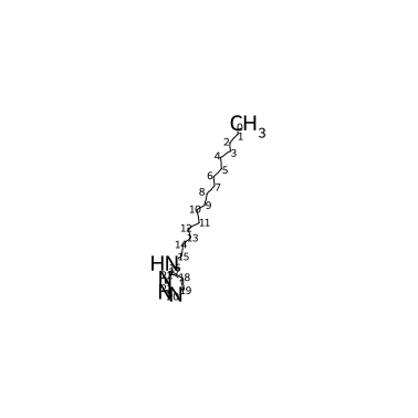 CCCCCCCCCCCCCCCCNc1ccnnn1